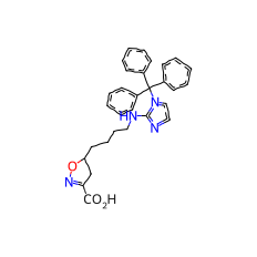 O=C(O)C1=NOC(CCCCNc2nccn2C(c2ccccc2)(c2ccccc2)c2ccccc2)C1